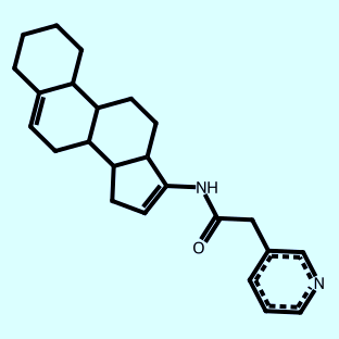 O=C(Cc1cccnc1)NC1=CCC2C1CCC1C3CCCCC3=CCC12